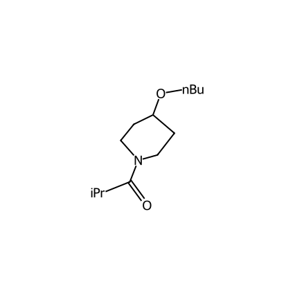 CCCCOC1CCN(C(=O)C(C)C)CC1